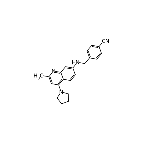 Cc1cc(N2CCCC2)c2ccc(NCc3ccc(C#N)cc3)cc2n1